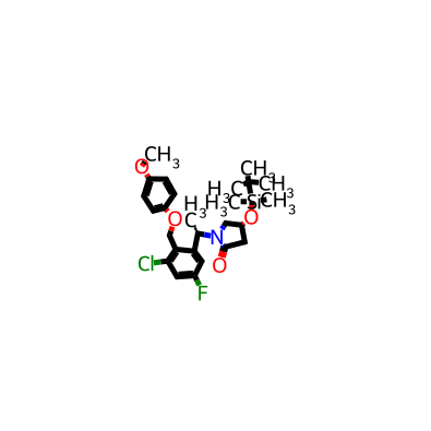 COc1ccc(OCc2c(Cl)cc(F)cc2[C@H](C)N2CC(O[Si](C)(C)C(C)(C)C)CC2=O)cc1